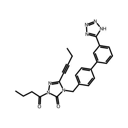 CCC#Cc1nn(C(=O)CCC)c(=O)n1Cc1ccc(-c2cccc(-c3nnn[nH]3)c2)cc1